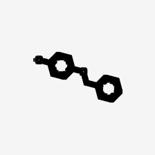 [O]c1ccc(OCc2ccccc2)cc1